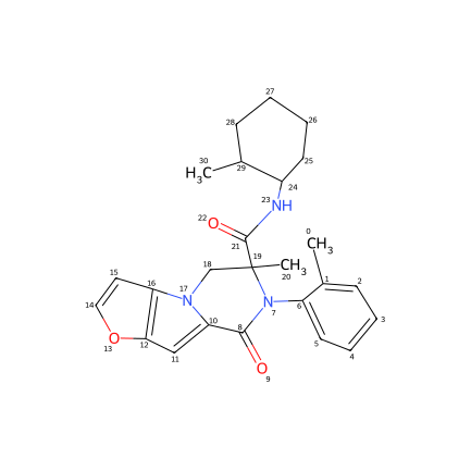 Cc1ccccc1N1C(=O)c2cc3occc3n2CC1(C)C(=O)NC1CCCCC1C